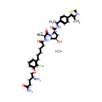 Cc1ncsc1-c1ccc([C@H](C)NC(=O)[C@@H]2C[C@@H](O)CN2C(=O)[C@@H](NC(=O)CCCCCc2cccc(OC[C@@H](N)CCC(N)=O)c2F)C(C)(C)C)cc1.Cl